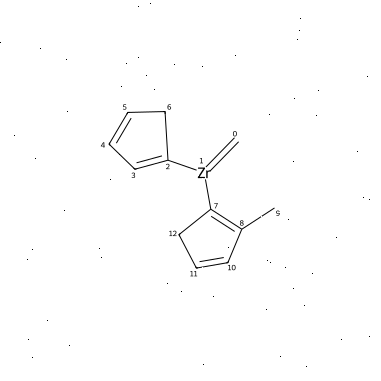 [CH2]=[Zr]([C]1=CC=CC1)[C]1=C(C)C=CC1